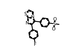 CS(=O)(=O)c1ccc(-c2c(-c3ccc(F)cc3)nc3sccn23)cc1